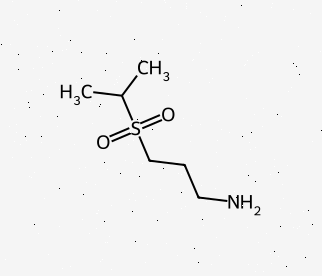 CC(C)S(=O)(=O)CCCN